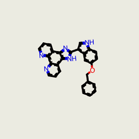 c1ccc(COc2ccc3[nH]cc(-c4nc5c6cccnc6c6ncccc6c5[nH]4)c3c2)cc1